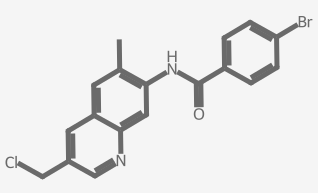 Cc1cc2cc(CCl)cnc2cc1NC(=O)c1ccc(Br)cc1